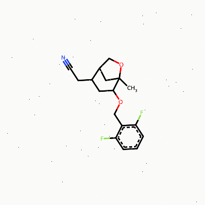 CC12CC(CO1)C(CC#N)CC2OCc1c(F)cccc1F